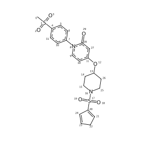 CS(=O)(=O)c1ccc(-n2ccc(OC3CCN(S(=O)(=O)C4=CCC=C4)CC3)cc2=O)cc1